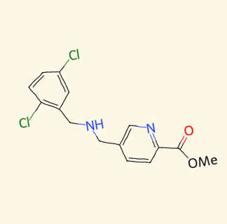 COC(=O)c1ccc(CNCc2cc(Cl)ccc2Cl)cn1